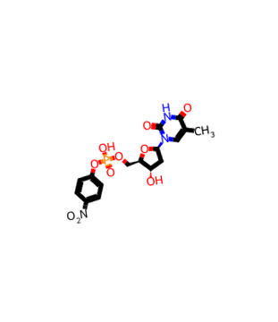 Cc1cn([C@H]2C[C@H](O)[C@@H](COP(=O)(O)Oc3ccc([N+](=O)[O-])cc3)O2)c(=O)[nH]c1=O